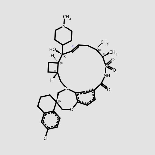 C[C@@H]1[C@@H](C)C/C=C/[C@@](O)(C2CCN(C)CC2)[C@@H]2CC[C@H]2CN2C[C@@]3(CCCc4cc(Cl)ccc43)COc3ccc(cc32)C(=O)NS1(=O)=O